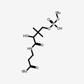 CC(C)(C)OP(=O)(O)OCC(C)(C)C(O)C(=O)NCCC(=O)C(C)(C)C